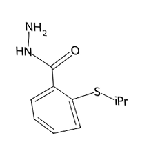 CC(C)Sc1ccccc1C(=O)NN